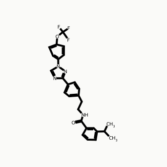 CC(C)c1cccc(C(=O)NCCc2ccc(-c3ncn(-c4ccc(OC(F)(F)F)cc4)n3)cc2)c1